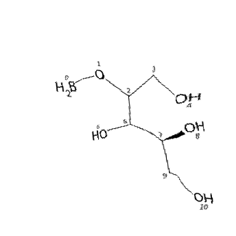 BOC(CO)C(O)[C@@H](O)CO